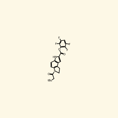 CC(C)(C)CC(=O)N1CCc2c1ccc1[nH]c(C(=O)Oc3c(F)c(F)cc(F)c3F)cc21